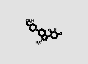 Cn1nc(N2CCC(=O)NC2=O)c2ccc(N3CCN(CC(=O)O)CC3)cc21